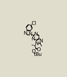 Cc1nc2cnc(-n3cnc4ccc(Cl)cc43)nc2n1[C@H](C)C(=O)OC(C)(C)C